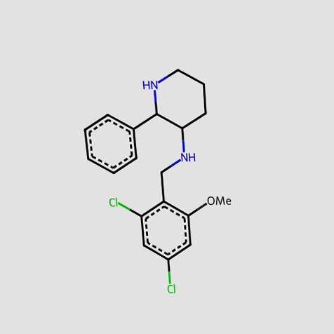 COc1cc(Cl)cc(Cl)c1CNC1CCCNC1c1ccccc1